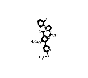 COc1ncc(-c2ccc(C(=O)N3[C@@H](c4ccccc4F)CC[C@H]3C(=O)O)cc2OC)cn1